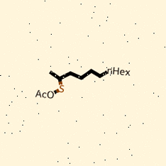 CCCCCCCCCCC(C)SOC(C)=O